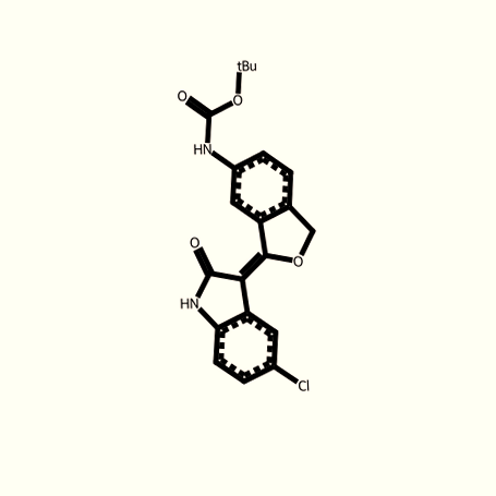 CC(C)(C)OC(=O)Nc1ccc2c(c1)C(=C1C(=O)Nc3ccc(Cl)cc31)OC2